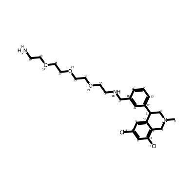 CN1Cc2c(Cl)cc(Cl)cc2C(c2cccc(CNCCOCCOCCOCCN)c2)C1